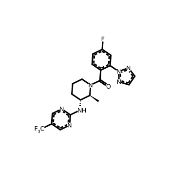 C[C@H]1[C@H](Nc2ncc(C(F)(F)F)cn2)CCCN1C(=O)c1ccc(F)cc1-n1nccn1